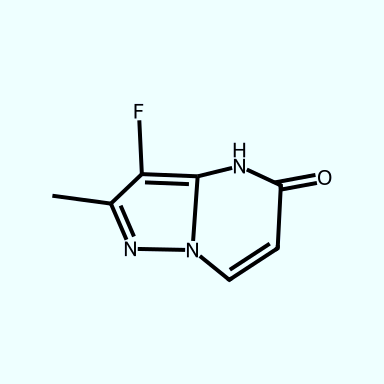 Cc1nn2ccc(=O)[nH]c2c1F